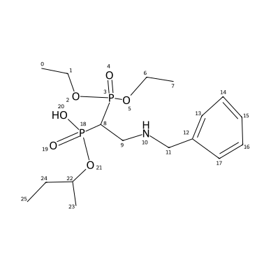 CCOP(=O)(OCC)C(CNCc1ccccc1)P(=O)(O)OC(C)CC